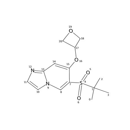 CC(C)(C)S(=O)(=O)c1cn2ccnc2cc1OC1COC1